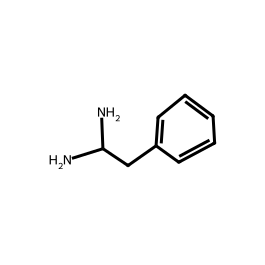 NC(N)Cc1ccccc1